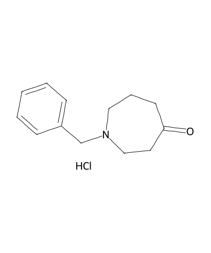 Cl.O=C1CCCN(Cc2ccccc2)CC1